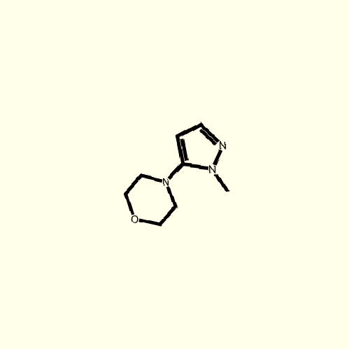 Cn1n[c]cc1N1CCOCC1